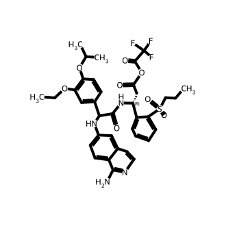 CCCS(=O)(=O)c1ccccc1[C@@H](CC(=O)OC(=O)C(F)(F)F)NC(=O)C(Nc1ccc2c(N)nccc2c1)c1ccc(OC(C)C)c(OCC)c1